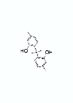 Cc1ccc(C(C)(C)c2ccc(C)cc2O)c(O)c1